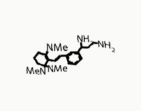 CNC1=C(/C=C/c2cccc(C(N)CCN)c2)C(NC)(NC)CCC1